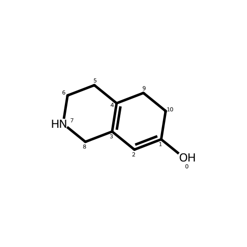 OC1=CC2=C(CCNC2)CC1